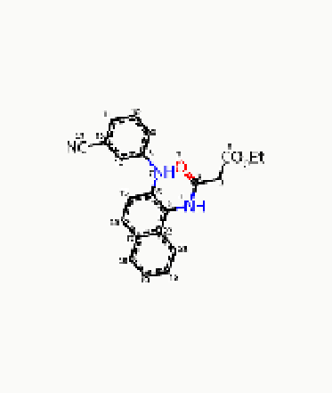 CCOC(=O)CC(=O)Nc1c(Nc2cccc(C#N)c2)ccc2ccccc12